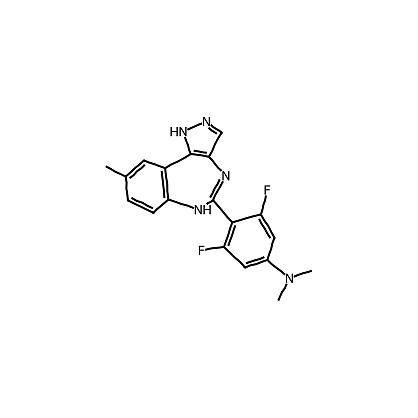 Cc1ccc2c(c1)-c1[nH]ncc1N=C(c1c(F)cc(N(C)C)cc1F)N2